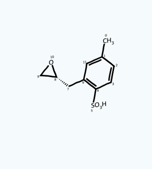 Cc1ccc(S(=O)(=O)O)c(C[C@@H]2CO2)c1